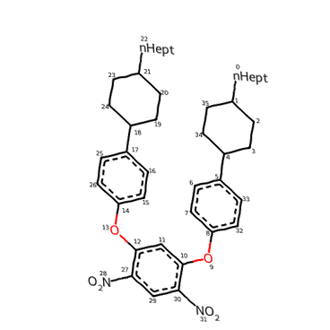 CCCCCCCC1CCC(c2ccc(Oc3cc(Oc4ccc(C5CCC(CCCCCCC)CC5)cc4)c([N+](=O)[O-])cc3[N+](=O)[O-])cc2)CC1